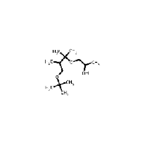 CC(O)COC(C)(P)C(C)COC(C)(C)C